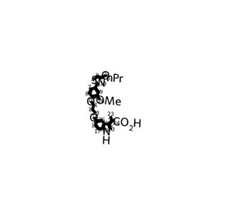 CCCOc1csc(-c2ccc(OCCCOc3ccc4[nH]cc(C(C)C(=O)O)c4c3)c(OC)c2)n1